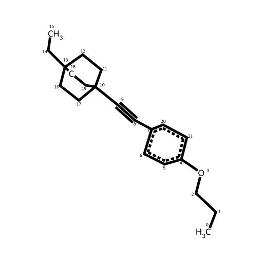 CCCOc1ccc(C#CC23CCC(CC)(CC2)CC3)cc1